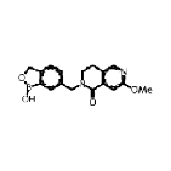 COc1cc2c(cn1)CCN(Cc1ccc3c(c1)B(O)OC3)C2=O